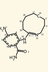 NC(=O)c1ncc(N)cc1N/C1=N/CCCCCCCC1